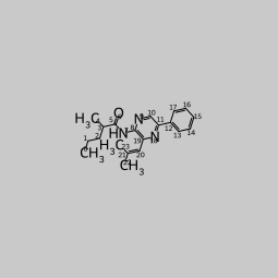 CCCC(C)C(=O)Nc1ncc(-c2ccccc2)nc1C=C(C)C